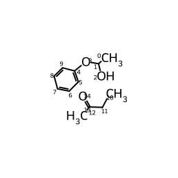 CC(O)Oc1ccccc1.CCC(C)=O